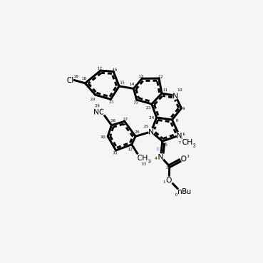 CCCCOC(=O)/N=c1\n(C)c2cnc3ccc(-c4ccc(Cl)cc4)cc3c2n1-c1cc(C#N)ccc1C